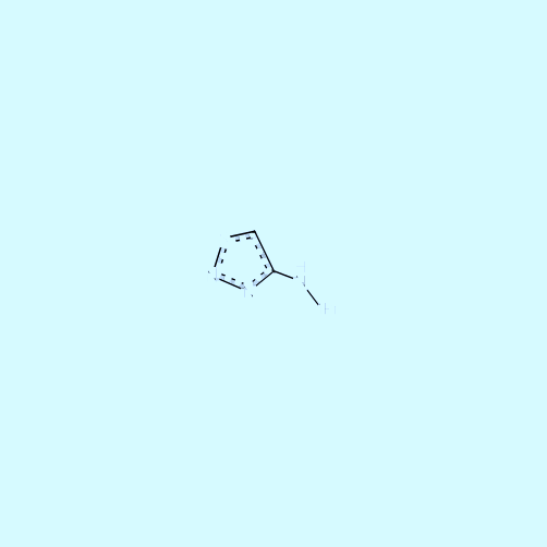 CC(C)Nc1csnn1